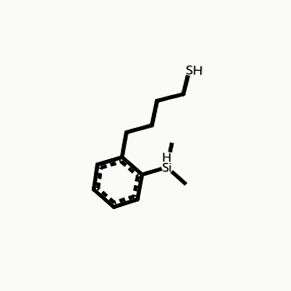 C[SiH](C)c1ccccc1CCCCS